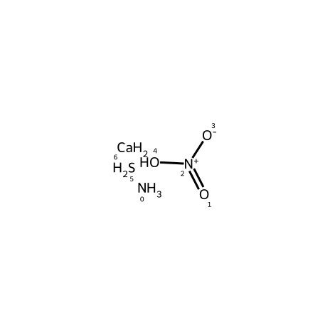 N.O=[N+]([O-])O.S.[CaH2]